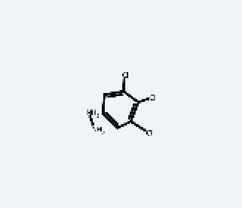 Clc1cccc(Cl)c1Cl.NN